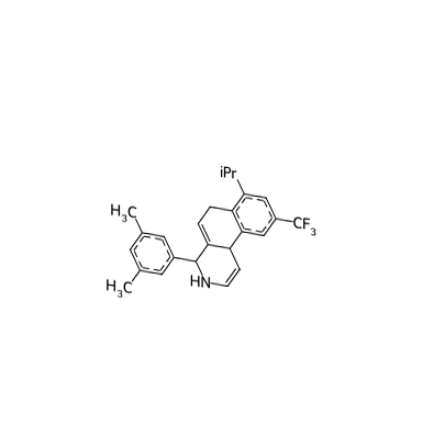 Cc1cc(C)cc(C2NC=CC3C2=CCc2c(C(C)C)cc(C(F)(F)F)cc23)c1